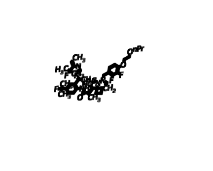 C=CN(Cc1ccc(OCCOCCC)c(F)c1F)N(C)C1(/C(O)=C(\C)C(=O)Nc2ccc(C(C)(C)F)cc2/C(C)=N/C=N\C(=C/C)C(C)(C)F)CCC1